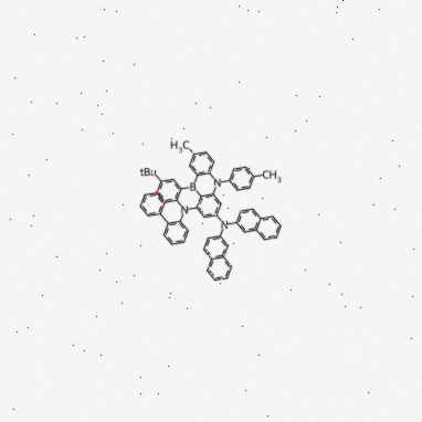 Cc1ccc(N2c3ccc(C)cc3B3c4cc(C(C)(C)C)ccc4N(c4ccccc4-c4ccccc4)c4cc(N(c5ccc6ccccc6c5)c5ccc6ccccc6c5)cc2c43)cc1